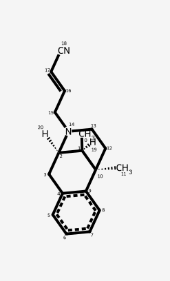 C[C@@H]1[C@H]2Cc3ccccc3[C@]1(C)CCN2CC=CC#N